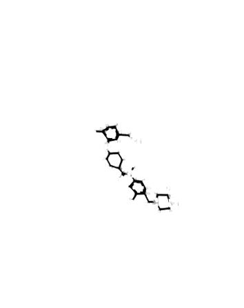 Cc1cc(N(C)C(=O)C2CCC(Oc3cc(CO)ccc3C)CC2)ccc1CN1CCN[C@@H](C)C1